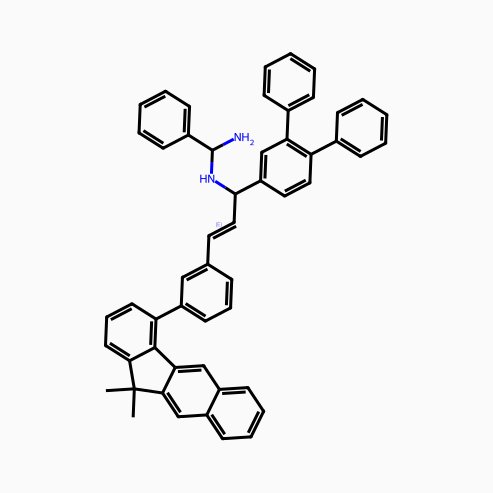 CC1(C)c2cc3ccccc3cc2-c2c(-c3cccc(/C=C/C(NC(N)c4ccccc4)c4ccc(-c5ccccc5)c(-c5ccccc5)c4)c3)cccc21